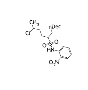 CCCCCCCCCCCC(CCC(C)Cl)S(=O)(=O)Nc1ccccc1[N+](=O)[O-]